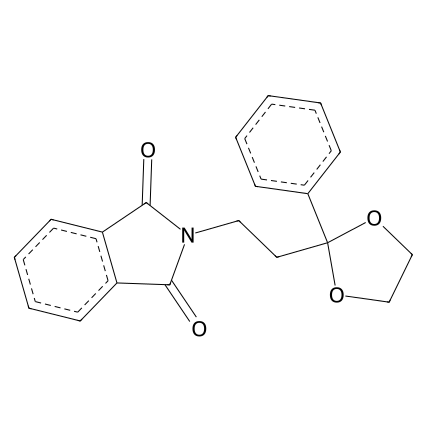 O=C1c2ccccc2C(=O)N1CCC1(c2ccccc2)OCCO1